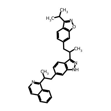 CC(C)c1noc2cc(CC(C)c3n[nH]c4cc(CC(C)c5nccc6ccccc56)ccc34)ccc12